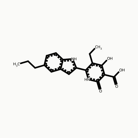 CCCc1ccc2[nH]c(-c3[nH]c(=O)c(C(=O)O)c(O)c3CC)cc2c1